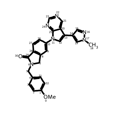 COc1ccc(CN2Cc3cc(-n4cc(-c5cnn(C)c5)c5cncnc54)ccc3C2=O)cc1